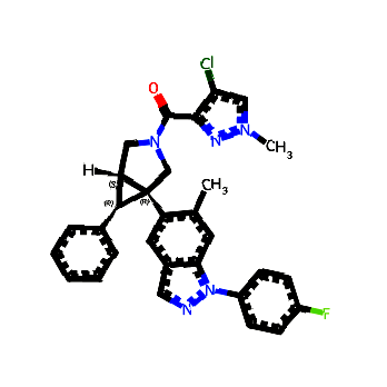 Cc1cc2c(cnn2-c2ccc(F)cc2)cc1[C@]12CN(C(=O)c3nn(C)cc3Cl)C[C@H]1[C@@H]2c1ccccc1